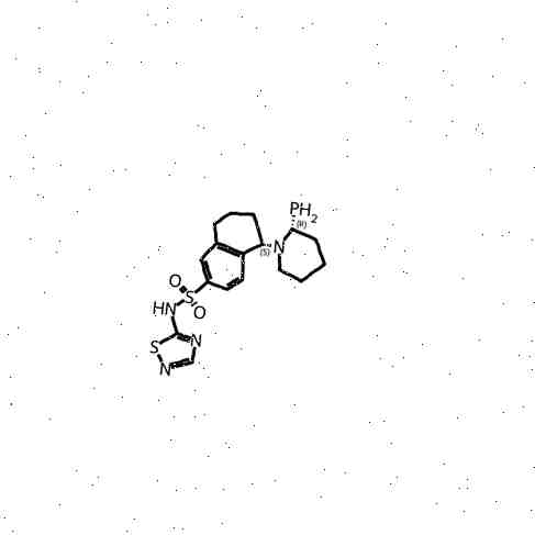 O=S(=O)(Nc1ncns1)c1ccc2c(c1)CCC[C@@H]2N1CCCC[C@H]1P